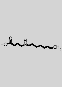 CCCCCCCCNCCCC(=O)O